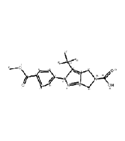 COC(=O)c1ccc(-n2nc3c(c2C(C)(C)C)CN(C(=O)O)C3)cc1